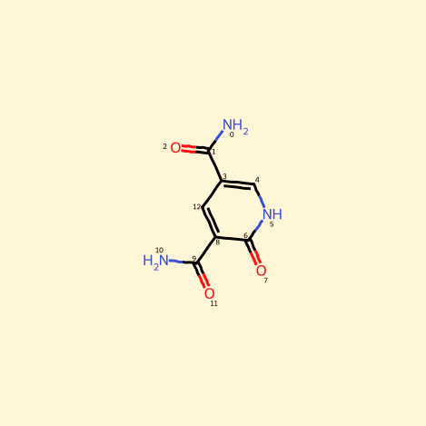 NC(=O)c1c[nH]c(=O)c(C(N)=O)c1